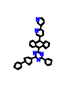 c1ccc(-c2ccc(-c3nc(-c4ccccc4)nc(-c4c5ccccc5c(-c5ccc(-c6cccnc6)nc5)c5ccccc45)n3)cc2)cc1